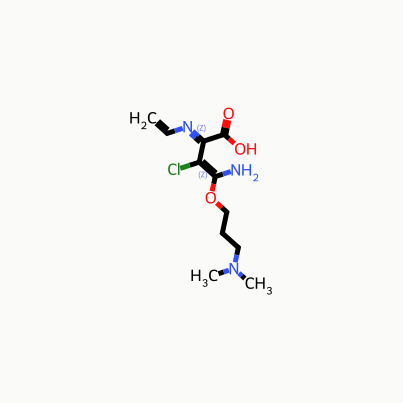 C=C/N=C(C(=O)O)\C(Cl)=C(/N)OCCCN(C)C